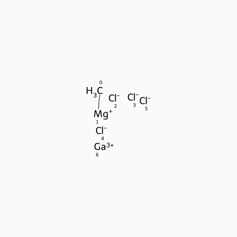 [CH3][Mg+].[Cl-].[Cl-].[Cl-].[Cl-].[Ga+3]